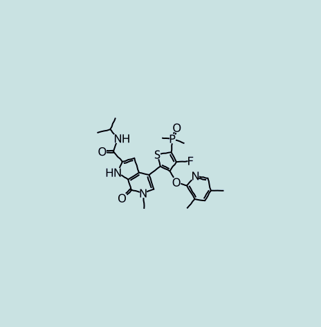 Cc1cnc(Oc2c(-c3cn(C)c(=O)c4[nH]c(C(=O)NC(C)C)cc34)sc(P(C)(C)=O)c2F)c(C)c1